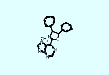 Cn1cnc2ncnc(C3=NC(c4ccccc4)C(c4ccccc4)O3)c21